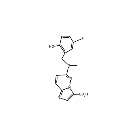 CN(Cc1cc(F)ccc1O)c1ccc2ncc(C(=O)O)n2n1